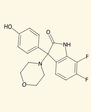 O=C1Nc2c(ccc(F)c2F)C1(c1ccc(O)cc1)N1CCOCC1